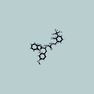 COc1ccc(CC(NC(=O)NCc2cccc(C(F)(F)F)c2Cl)c2nc3ccccc3[nH]2)cc1